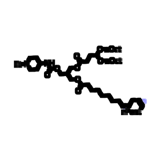 CCCCC/C=C\C/C=C\CCCCCCCC(=O)OCC(COC(=O)CCC(OCCCCCCCC)OCCCCCCCC)COC(=O)NC1CCN(CC)CC1